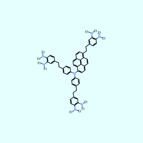 CCN(CC)c1ccc(CCc2ccc(N(c3ccc(CCc4ccc(N(CC)CC)c(N(CC)CC)c4)cc3)c3ccc4ccc5c(CCc6ccc(N(CC)CC)c(N(CC)CC)c6)ccc6ccc3c4c65)cc2)cc1N(CC)CC